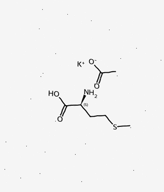 CC(=O)[O-].CSCC[C@H](N)C(=O)O.[K+]